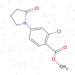 COC(=O)c1ccc(N2CCCC2=O)cc1Cl